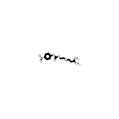 CC(C)CCOCCOC(=O)Oc1ccc([N+](=O)[O-])cc1